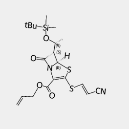 C=CCOC(=O)C1=C(SC=CC#N)S[C@@H]2[C@@H]([C@@H](C)O[Si](C)(C)C(C)(C)C)C(=O)N12